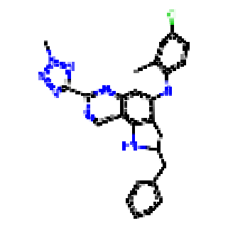 Cc1cc(Cl)ccc1Nc1cc2nc(-c3nnn(C)n3)ncc2c2c1CC(Cc1ccccc1)N2